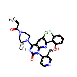 C=CC(=O)N1CCN(c2nc(=O)n(-c3ccncc3C(C)C)c3nc(-c4c(O)cccc4F)c(Cl)cc23)[C@@H](C)C1